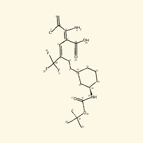 C=C(Cl)/C(N)=C(\C=C(/CCN1CCC[C@@H](NC(=O)OC(C)(C)C)C1)C(F)(F)F)C(=O)O